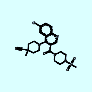 CC1(C#N)CCN(c2c(C(=O)N3CCN(S(C)(=O)=O)CC3)cnc3ccc(Cl)cc23)CC1